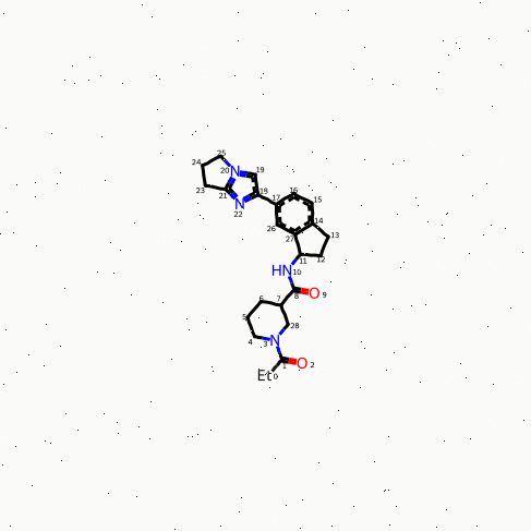 CCC(=O)N1CCCC(C(=O)NC2CCc3ccc(-c4cn5c(n4)CCC5)cc32)C1